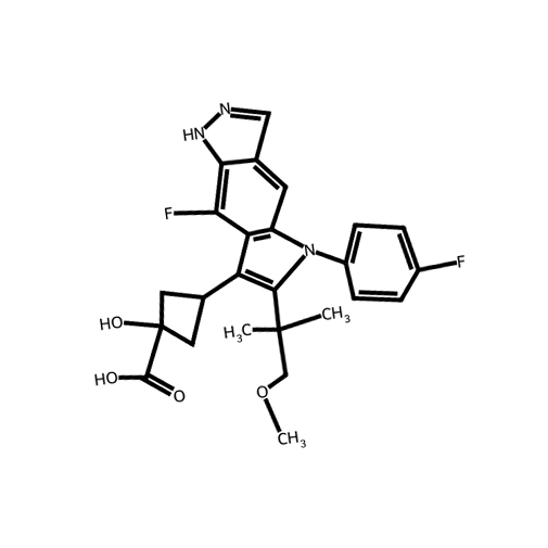 COCC(C)(C)c1c(C2CC(O)(C(=O)O)C2)c2c(F)c3[nH]ncc3cc2n1-c1ccc(F)cc1